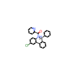 O=C(Nc1ccc(Cl)cc1-c1ccccc1[Se]c1ccccc1)c1ccccn1